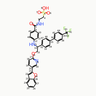 O=C(NCCS(=O)(=O)O)c1ccc(NC(COc2ccc(-c3cc4ccccc4o3)cn2)c2ccc(-c3ccc(C(F)(F)F)cc3)cc2)cc1